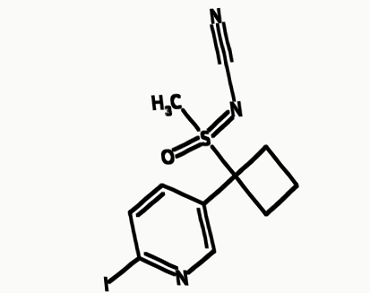 CS(=O)(=NC#N)C1(c2ccc(I)nc2)CCC1